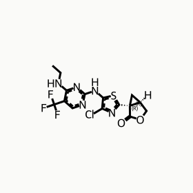 CCNc1nc(Nc2sc([C@]34C[C@H]3COC4=O)nc2Cl)ncc1C(F)(F)F